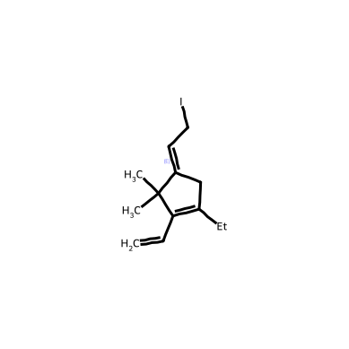 C=CC1=C(CC)C/C(=C\CI)C1(C)C